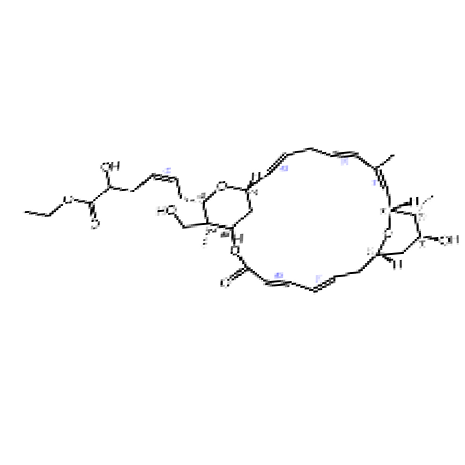 CCOC(=O)C(O)C/C=C\C[C@@H]1O[C@@H]2/C=C/C/C=C/C(C)=C\[C@H]3O[C@@H](C/C=C/C=C/C(=O)O[C@H](C2)[C@@]1(C)CO)C[C@H](O)[C@H]3C